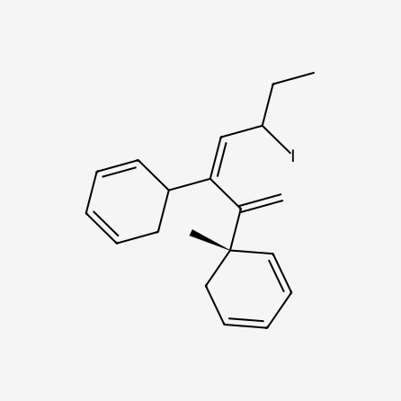 C=C(/C(=C\C(I)CC)C1C=CC=CC1)[C@]1(C)C=CC=CC1